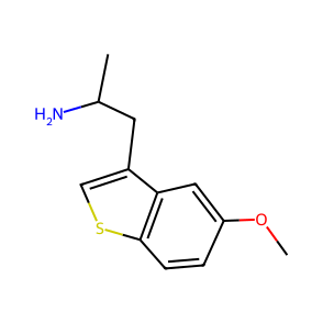 COc1ccc2scc(CC(C)N)c2c1